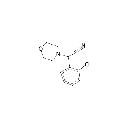 N#CC(c1ccccc1Cl)N1CCOCC1